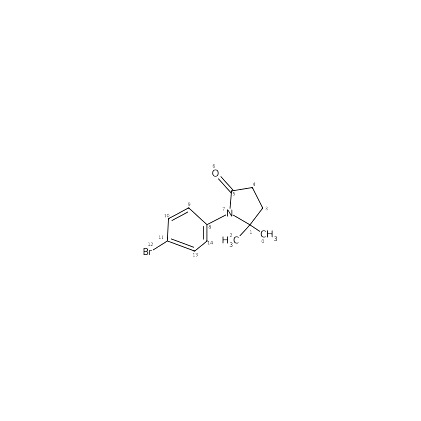 CC1(C)CCC(=O)N1c1ccc(Br)cc1